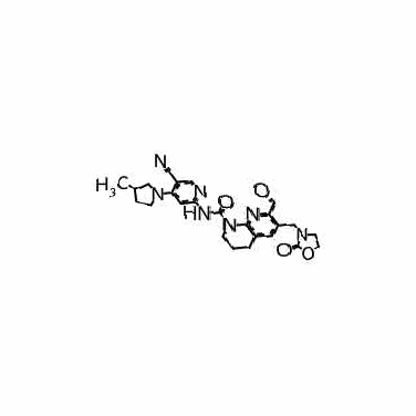 C[C@@H]1CCN(c2cc(NC(=O)N3CCCc4cc(CN5CCOC5=O)c(C=O)nc43)ncc2C#N)C1